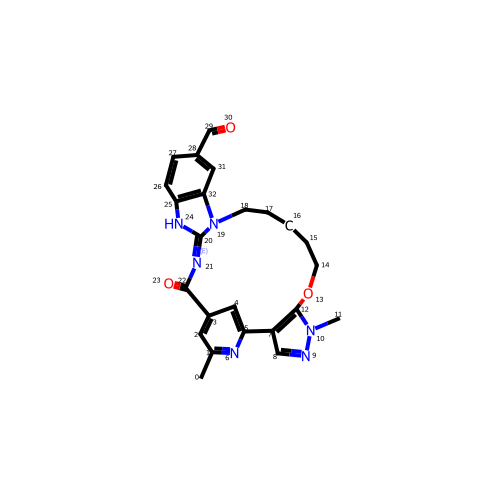 Cc1cc2cc(n1)-c1cnn(C)c1OCCCCCN1/C(=N/C2=O)Nc2ccc(C=O)cc21